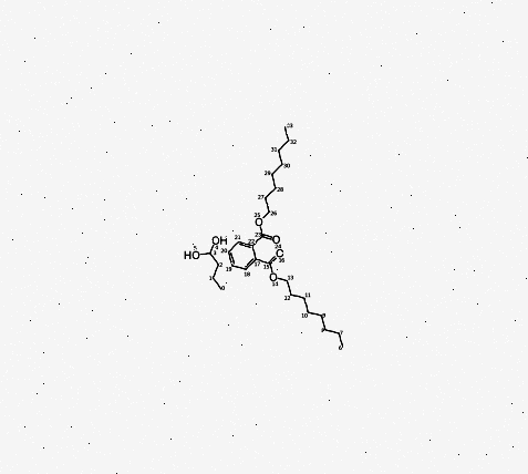 CCCC(O)O.CCCCCCCCOC(=O)c1ccccc1C(=O)OCCCCCCCC